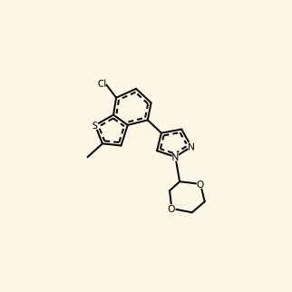 Cc1cc2c(-c3cnn(C4COCCO4)c3)ccc(Cl)c2s1